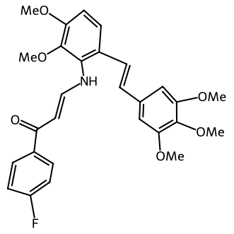 COc1cc(C=Cc2ccc(OC)c(OC)c2NC=CC(=O)c2ccc(F)cc2)cc(OC)c1OC